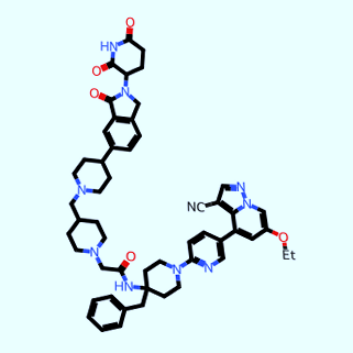 CCOc1cc(-c2ccc(N3CCC(Cc4ccccc4)(NC(=O)CN4CCC(CN5CCC(c6ccc7c(c6)C(=O)N(C6CCC(=O)NC6=O)C7)CC5)CC4)CC3)nc2)c2c(C#N)cnn2c1